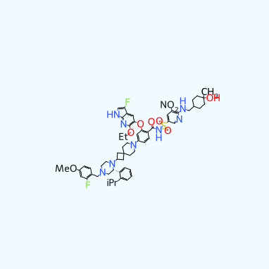 CCOc1nc2[nH]cc(F)c2cc1Oc1cc(N2CCC3(CC2)CC(N2CCN(Cc4ccc(OC)cc4F)C[C@H]2c2ccccc2C(C)C)C3)ccc1C(=O)NS(=O)(=O)c1cnc(NCC2CCC(C)(O)CC2)c([N+](=O)[O-])c1